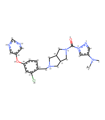 CC(=O)N(C)c1cnn(C(=O)N2CC3CN(Cc4ccc(Oc5cncnc5)cc4Cl)CC3C2)c1